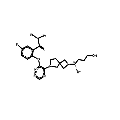 CCN(C(=O)c1cc(F)ccc1Oc1nncnc1N1CCC2(C1)CN([C@H](CCCO)C(C)C)C2)C(C)C